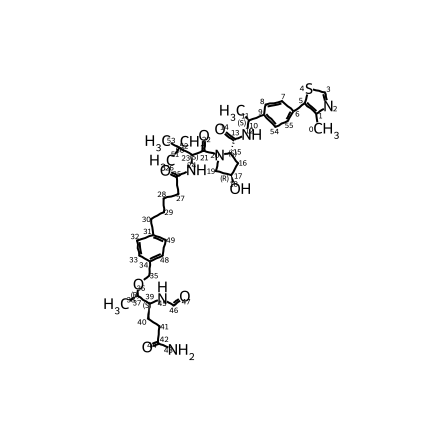 Cc1ncsc1-c1ccc([C@H](C)NC(=O)[C@@H]2C[C@@H](O)CN2C(=O)[C@@H](NC(=O)CCCCc2ccc(CO[C@H](C)[C@H](CCC(N)=O)NC=O)cc2)C(C)(C)C)cc1